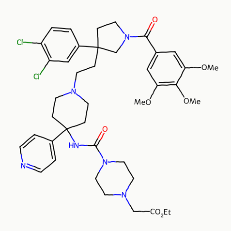 CCOC(=O)CN1CCN(C(=O)NC2(c3ccncc3)CCN(CCC3(c4ccc(Cl)c(Cl)c4)CCN(C(=O)c4cc(OC)c(OC)c(OC)c4)C3)CC2)CC1